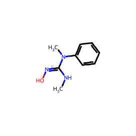 CN/C(=N\O)N(C)c1ccccc1